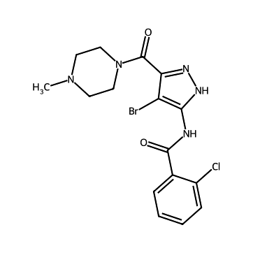 CN1CCN(C(=O)c2n[nH]c(NC(=O)c3ccccc3Cl)c2Br)CC1